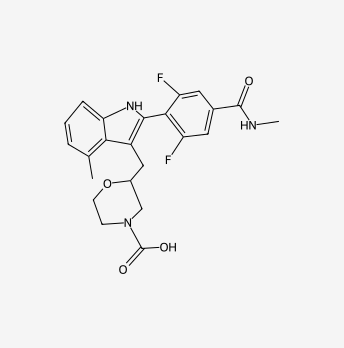 CNC(=O)c1cc(F)c(-c2[nH]c3cccc(C)c3c2CC2CN(C(=O)O)CCO2)c(F)c1